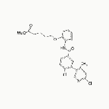 COC(=O)CCCCOc1ccccc1NC(=O)c1ccc(Cl)c(-c2cnc(Cl)cc2C)c1